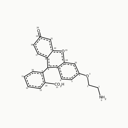 NCCOc1ccc2c(-c3ccccc3C(=O)O)c3ccc(=O)cc-3oc2c1